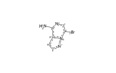 Nc1ncc(Br)n2nccc12